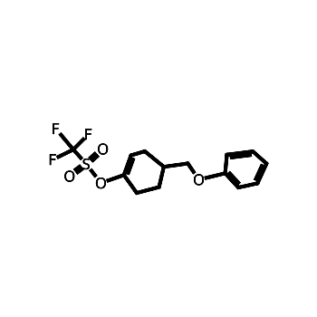 O=S(=O)(OC1=CCC(COc2ccccc2)CC1)C(F)(F)F